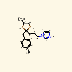 CCc1ccc(CC2(CCCn3ccnc3)SCC(CC)S2)cc1